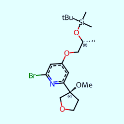 CO[C@@]1(c2cc(OC[C@@H](C)O[Si](C)(C)C(C)(C)C)cc(Br)n2)CCOC1